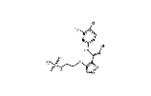 NS(=O)(=O)NCCOc1nonc1/C(=N/O)Nc1ccc(Cl)c(C(F)(F)F)c1